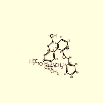 COc1cc(CCO)c(-c2cccnc2OCc2ccccc2)cc1C(C)(C)C